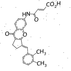 Cc1cccc(/C=C2\CCc3c2oc2cc(NC(=O)/C=C/C(=O)O)ccc2c3=O)c1C